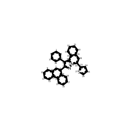 c1ccc(-c2c(-c3cc4ccccc4c4ccccc34)nn3c(-c4cccs4)cc4ccccc4c23)cc1